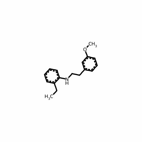 CCc1ccccc1NCCc1cccc(OC)c1